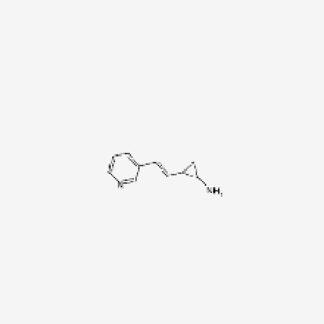 NC1CC1C=Cc1cccnc1